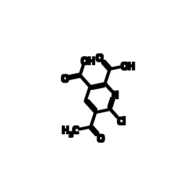 CC(=O)c1cc(C(=O)O)c(C(=O)O)nc1Cl